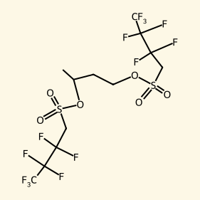 CC(CCOS(=O)(=O)CC(F)(F)C(F)(F)C(F)(F)F)OS(=O)(=O)CC(F)(F)C(F)(F)C(F)(F)F